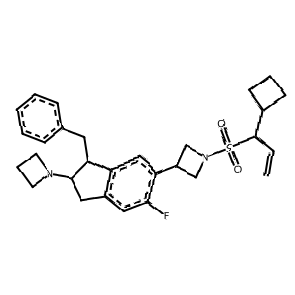 C=CC(C1CCC1)S(=O)(=O)N1CC(c2cc3c(cc2F)CC(N2CCC2)C3Cc2ccccc2)C1